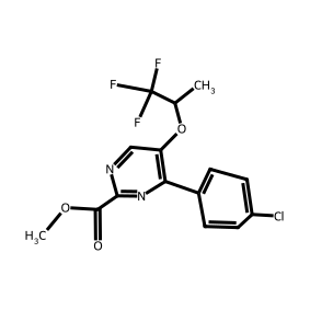 COC(=O)c1ncc(OC(C)C(F)(F)F)c(-c2ccc(Cl)cc2)n1